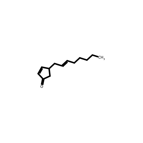 CCCCCC=CCC1C=CC(=O)C1